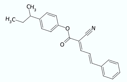 CCC(C)c1ccc(OC(=O)/C(C#N)=C/C=C/c2ccccc2)cc1